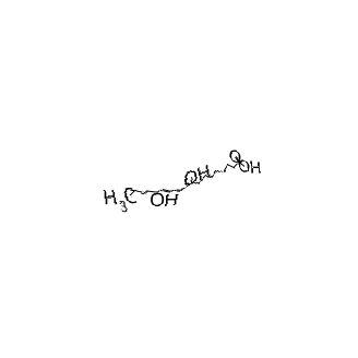 CCCCC(O)/C=C/C=C/C(O)CCCCCCCC(=O)O